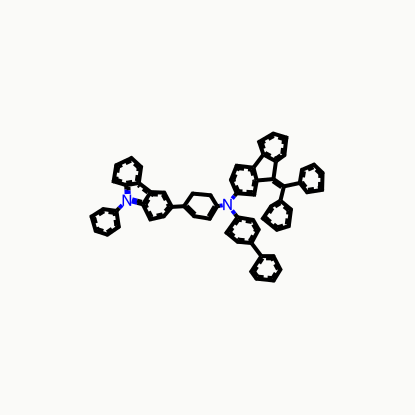 C1=C(c2ccc3c(c2)c2ccccc2n3-c2ccccc2)CCC(N(c2ccc(-c3ccccc3)cc2)c2ccc3c(c2)C(=C(c2ccccc2)c2ccccc2)c2ccccc2-3)=C1